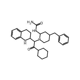 NC(=O)NC1CC(Cc2ccccc2)CCN1C(C(=O)C1CCCCC1)C1CCc2ccccc2N1